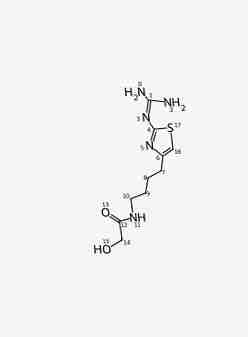 NC(N)=Nc1nc(CCCCNC(=O)CO)cs1